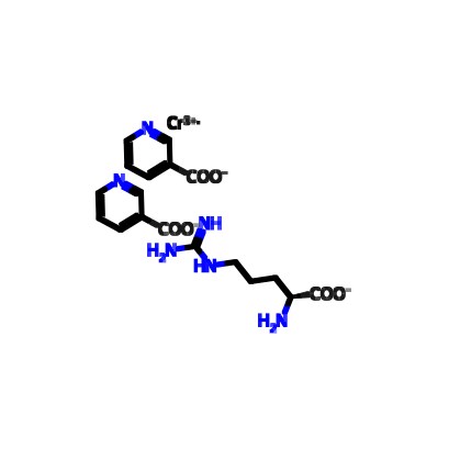 N=C(N)NCCC[C@H](N)C(=O)[O-].O=C([O-])c1cccnc1.O=C([O-])c1cccnc1.[Cr+3]